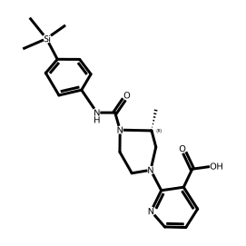 C[C@@H]1CN(c2ncccc2C(=O)O)CCN1C(=O)Nc1ccc([Si](C)(C)C)cc1